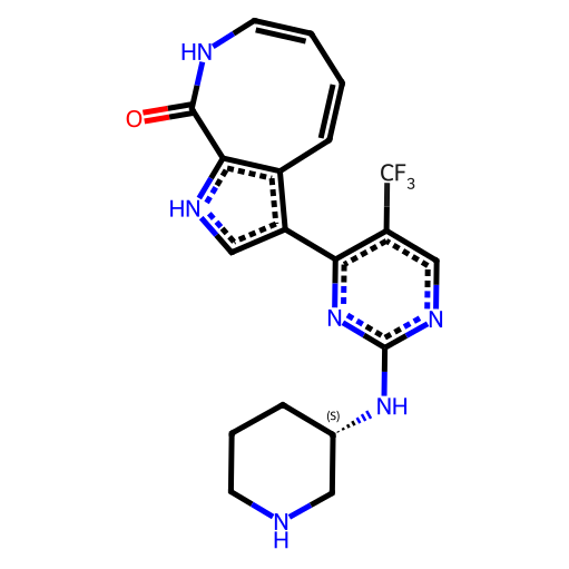 O=C1NC=CC=Cc2c(-c3nc(N[C@H]4CCCNC4)ncc3C(F)(F)F)c[nH]c21